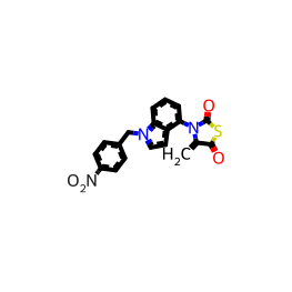 C=C1C(=O)SC(=O)N1c1cccc2c1ccn2Cc1ccc([N+](=O)[O-])cc1